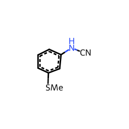 CSc1cccc(NC#N)c1